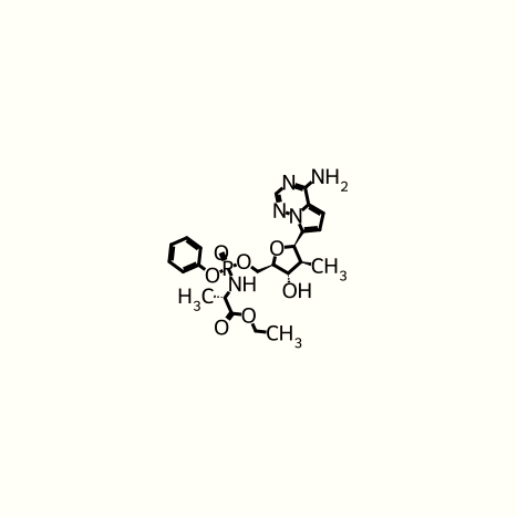 CCOC(=O)[C@H](C)NP(=O)(OC[C@H]1O[C@@H](c2ccc3c(N)ncnn23)[C@@H](C)[C@@H]1O)Oc1ccccc1